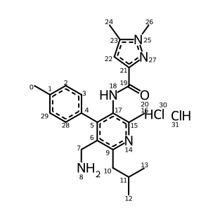 Cc1ccc(-c2c(CN)c(CC(C)C)nc(C)c2NC(=O)c2cc(C)n(C)n2)cc1.Cl.Cl